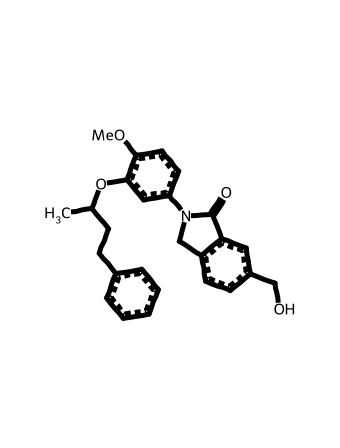 COc1ccc(N2Cc3ccc(CO)cc3C2=O)cc1OC(C)CCc1ccccc1